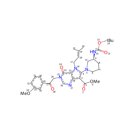 COC(=O)c1c(N2CCC[C@H](NC(=O)OC(C)(C)C)C2)n(CC=C(C)C)c2c(=O)n(CC(=O)c3cccc(OC)c3)cnc12